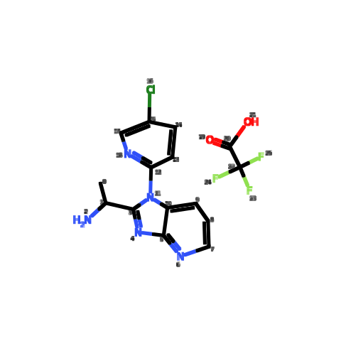 CC(N)c1nc2ncccc2n1-c1ccc(Cl)cn1.O=C(O)C(F)(F)F